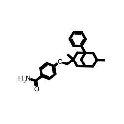 CC1CC2CC(C)(COc3ccc(C(N)=O)cc3)CC(c3ccccc3)(C1)C2